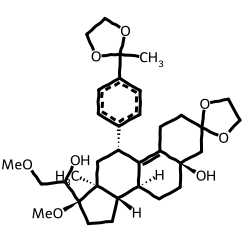 COCC(O)[C@@]1(OC)CC[C@H]2[C@@H]3CC[C@@]4(O)CC5(CCC4=C3[C@@H](c3ccc(C4(C)OCCO4)cc3)C[C@@]21C)OCCO5